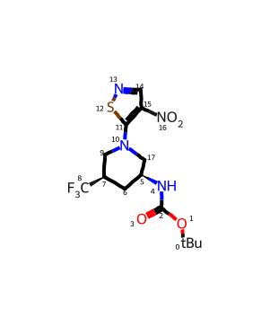 CC(C)(C)OC(=O)N[C@H]1C[C@@H](C(F)(F)F)CN(c2sncc2[N+](=O)[O-])C1